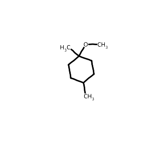 COC1(C)CCC(C)CC1